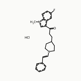 Cl.Cn1cc(C(=O)CCC2CCN(C=Cc3ccccc3)CC2)c2cc(F)ccc21